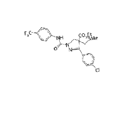 CCOC(=O)C1(CSC)CN(C(=O)Nc2ccc(C(F)(F)F)cc2)N=C1c1ccc(Cl)cc1